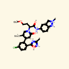 COc1cn(C(CCOC(C)(C)C)C(=O)Nc2ccc3nn(C)cc3c2)c(=O)cc1-c1cc(Cl)ccc1-c1nc(C)no1